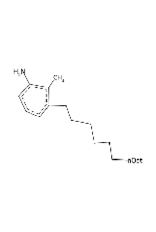 CCCCCCCCCCCCCCc1cccc(N)c1C